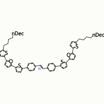 CCCCCCCCCCCCCCc1ccc(-c2ccc(-c3ccc(-c4ccc(/C=C/c5ccc(-c6ccc(-c7ccc(-c8ccc(CCCCCCCCCCCCCC)s8)o7)s6)cc5)cc4)s3)o2)s1